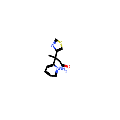 CC(CC(N)=O)(c1ccccn1)c1cscn1